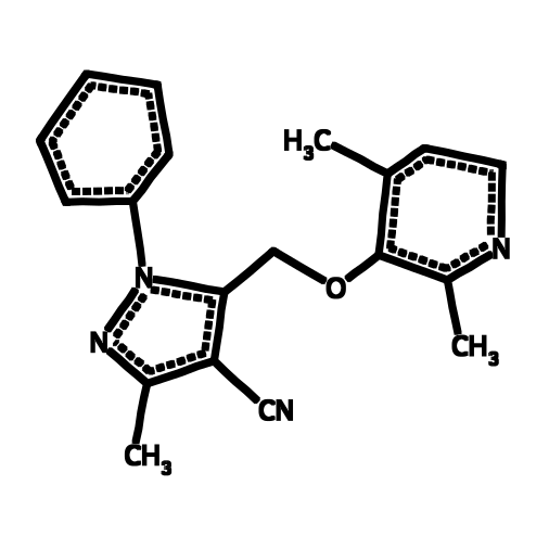 Cc1ccnc(C)c1OCc1c(C#N)c(C)nn1-c1ccccc1